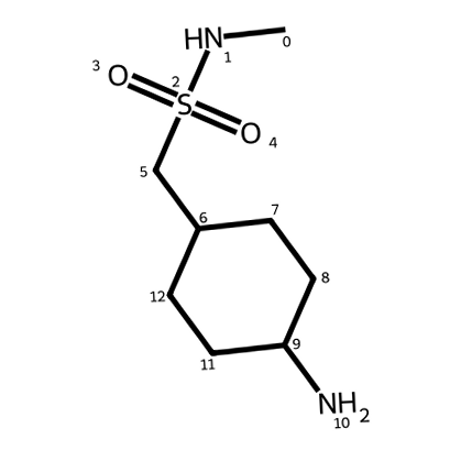 CNS(=O)(=O)CC1CCC(N)CC1